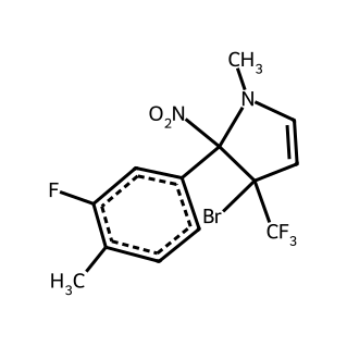 Cc1ccc(C2([N+](=O)[O-])N(C)C=CC2(Br)C(F)(F)F)cc1F